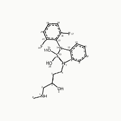 CNCC(O)CCN1c2ccccc2N(c2c(F)cccc2F)S1(O)O